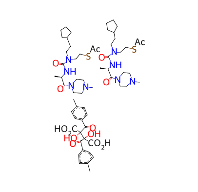 CC(=O)SCCN(CCC1CCCC1)C(=O)N[C@H](C)C(=O)N1CCN(C)CC1.CC(=O)SCCN(CCC1CCCC1)C(=O)N[C@H](C)C(=O)N1CCN(C)CC1.Cc1ccc(C(=O)C(O)(C(=O)O)C(O)(C(=O)O)C(=O)c2ccc(C)cc2)cc1